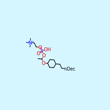 CCCCCCCCCCCCC1CCC(OC(C)OP(=O)(O)OCC[N+](C)(C)C)CC1